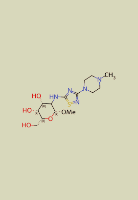 CO[C@@H]1O[C@H](CO)[C@H](O)[C@H](O)C1Nc1nc(N2CCN(C)CC2)ns1